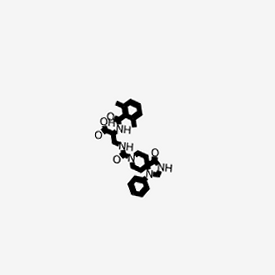 Cc1cccc(C)c1C(=O)NC(CNC(=O)N1CCC2(CC1)C(=O)NCN2c1ccccc1)C(=O)O